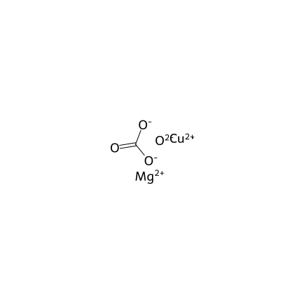 O=C([O-])[O-].[Cu+2].[Mg+2].[O-2]